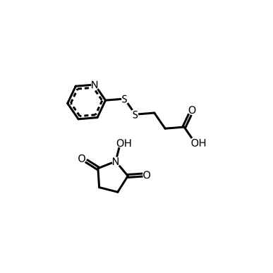 O=C(O)CCSSc1ccccn1.O=C1CCC(=O)N1O